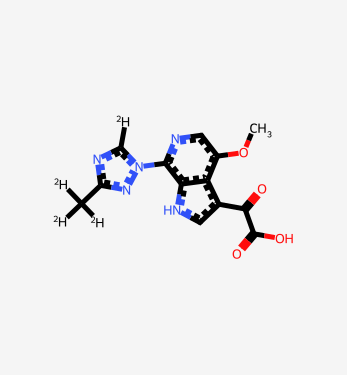 [2H]c1nc(C([2H])([2H])[2H])nn1-c1ncc(OC)c2c(C(=O)C(=O)O)c[nH]c12